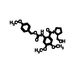 COc1ccc(COC(=O)Nc2cc(OC)c(OC)cc2C(=O)N2CCC[C@H]2CO)cc1